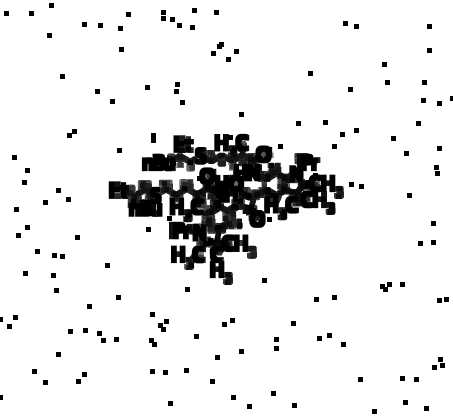 CCCCC(CC)CSCCCC(C)C(=O)Nc1cc2c(cc1C1=C(O)/C(=c3/cc4c(cc3NC(=O)C(C)CCCSCC(CC)CCCC)=[N+](C(C)C)C(C)C4(C)C)C1=O)C(C)(C)C(C)N2C(C)C